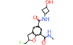 CNC(=O)c1cc(C(=O)NC2CC(O)C2)cc2c1OC(CF)C2